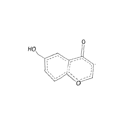 O=c1[c]coc2ccc(O)cc12